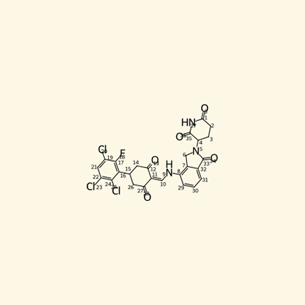 O=C1CCC(N2Cc3c(NC=C4C(=O)CC(c5c(F)c(Cl)cc(Cl)c5Cl)CC4=O)cccc3C2=O)C(=O)N1